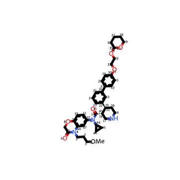 COCCCN1C(=O)COc2ccc(N(C(=O)[C@H]3CNCC[C@@H]3c3cccc(-c4ccc(OCCOC5CCCCO5)cc4)c3)C3CC3)cc21